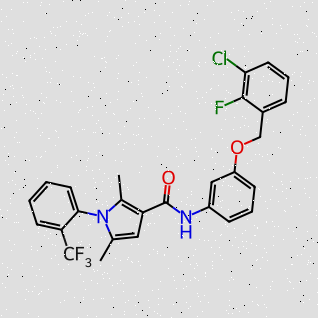 Cc1cc(C(=O)Nc2cccc(OCc3cccc(Cl)c3F)c2)c(C)n1-c1ccccc1C(F)(F)F